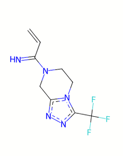 C=CC(=N)N1CCn2c(nnc2C(F)(F)F)C1